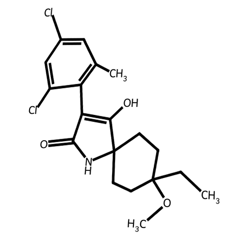 CCC1(OC)CCC2(CC1)NC(=O)C(c1c(C)cc(Cl)cc1Cl)=C2O